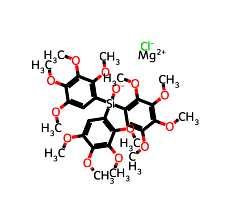 COc1cc([Si]([O-])(c2cc(OC)c(OC)c(OC)c2OC)c2cc(OC)c(OC)c(OC)c2OC)c(OC)c(OC)c1OC.[Cl-].[Mg+2]